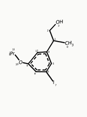 C[C](CO)c1cc(I)cc(OC(C)C)c1